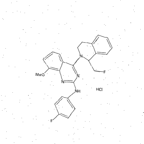 COc1cccc2c(N3CCc4ccccc4C3CF)nc(Nc3ccc(F)cc3)nc12.Cl